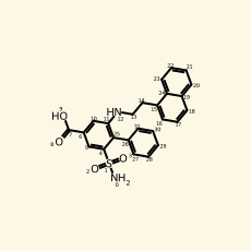 NS(=O)(=O)c1cc(C(=O)O)cc(NCCc2cccc3ccccc23)c1-c1ccccc1